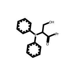 CC(C)C(=O)C(CO)P(c1ccccc1)c1ccccc1